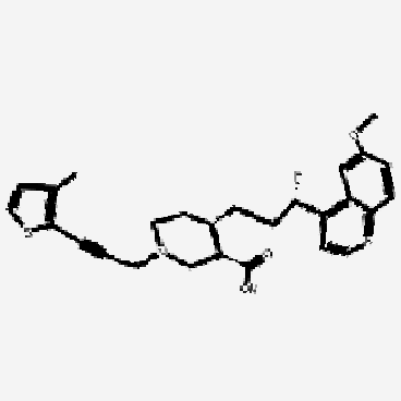 COc1ccc2nccc([C@@H](F)CC[C@@H]3CCN(CC#Cc4sccc4C)C[C@@H]3C(=O)O)c2c1